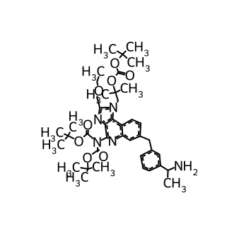 CCOCc1nc2c(N(C(=O)OC(C)(C)C)C(=O)OC(C)(C)C)nc3cc(Cc4cccc(C(C)N)c4)ccc3c2n1CC(C)(C)OC(=O)OC(C)(C)C